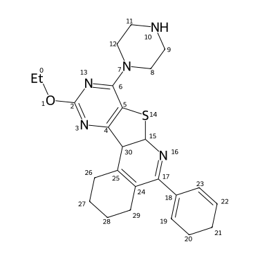 CCOc1nc2c(c(N3CCNCC3)n1)SC1N=C(C3=CCCC=C3)C3=C(CCCC3)C21